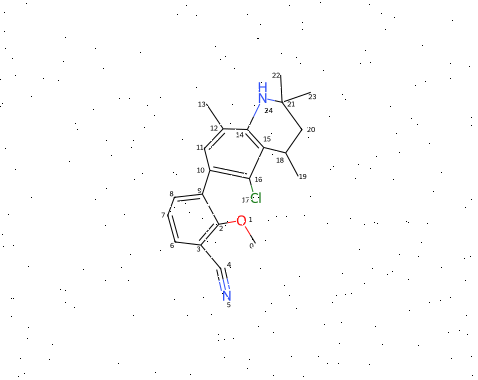 COc1c(C#N)cccc1-c1cc(C)c2c(c1Cl)C(C)CC(C)(C)N2